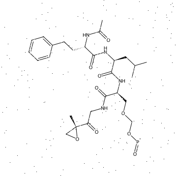 CC(=O)N[C@@H](CCc1ccccc1)C(=O)N[C@@H](CC(C)C)C(=O)N[C@@H](COCOP=O)C(=O)NCC(=O)[C@@]1(C)CO1